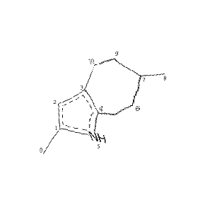 Cc1cc2c([nH]1)CC(C)CC2